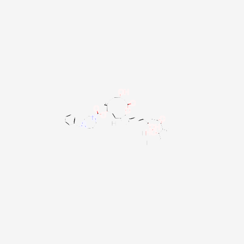 C=C1CCC(O)CC(=O)OC(/C(C)=C/C=C/C(C)(O)CC2OC2C(C)C(O)CC)C(C)/C=C/C1OC(=O)N1CCCN(Cc2ccccc2)CC1